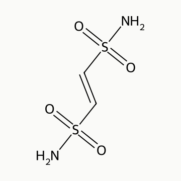 NS(=O)(=O)C=CS(N)(=O)=O